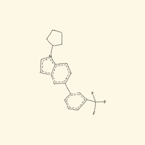 FC(F)(F)c1cccc(-c2ccc3c([c]cn3C3CCCC3)c2)c1